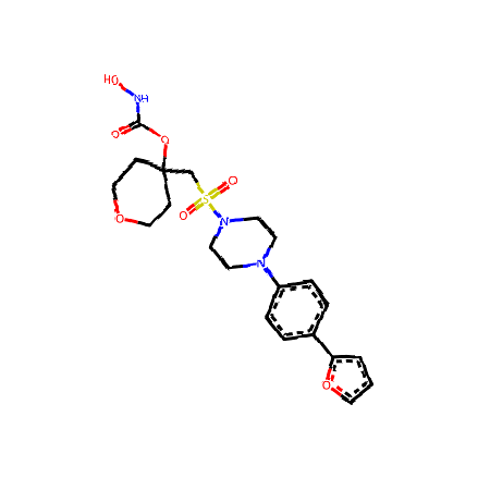 O=C(NO)OC1(CS(=O)(=O)N2CCN(c3ccc(-c4ccco4)cc3)CC2)CCOCC1